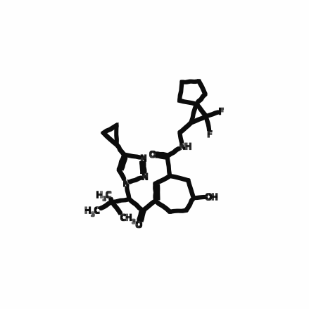 CC(C)(C)C(C(=O)C1=CC(C(=O)NCC2C(F)(F)C23CCCC3)CC(O)CC1)n1cc(C2CC2)nn1